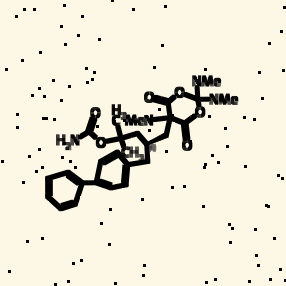 CNC1(NC)OC(=O)C(C[C@@H](Cc2ccc(-c3ccccc3)cc2)CC(C)(C)OC(N)=O)(NC)C(=O)O1